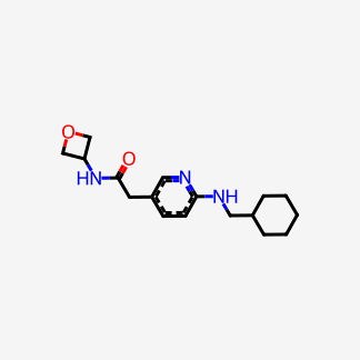 O=C(Cc1ccc(NCC2CCCCC2)nc1)NC1COC1